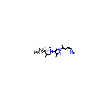 C=N/C=C\C=C(/C)n1cc(N(CC(C)CSC)C(=O)OCC)c(C)n1